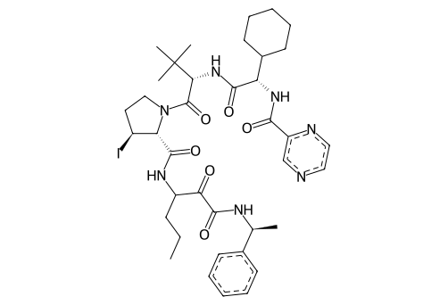 CCCC(NC(=O)[C@@H]1[C@@H](I)CCN1C(=O)[C@@H](NC(=O)[C@@H](NC(=O)c1cnccn1)C1CCCCC1)C(C)(C)C)C(=O)C(=O)N[C@@H](C)c1ccccc1